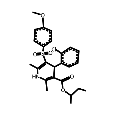 CCC(C)OC(=O)C1=C(C)NC(C)=C(S(=O)(=O)c2ccc(OC)cc2)C1c1ccccc1Cl